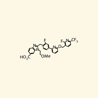 COCCn1c(Cc2ccc(-c3cccc(OCc4ccc(C(F)(F)F)nc4F)n3)cc2F)nc2ccc(C(=O)O)cc21